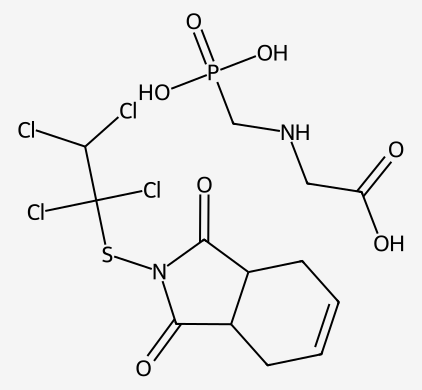 O=C(O)CNCP(=O)(O)O.O=C1C2CC=CCC2C(=O)N1SC(Cl)(Cl)C(Cl)Cl